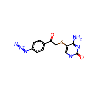 [N-]=[N+]=Nc1ccc(C(=O)CSC2=C[N]C(=O)N=C2N)cc1